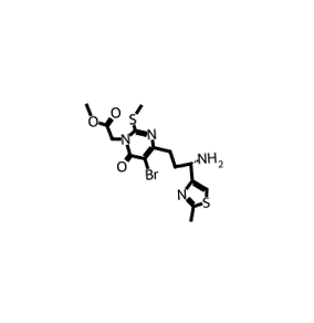 COC(=O)Cn1c(SC)nc(CC[C@H](N)c2csc(C)n2)c(Br)c1=O